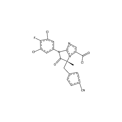 C[C@@]1(Cc2ccc(C#N)cc2)C(=O)N(c2cc(Cl)c(F)c(Cl)c2)c2ncc(C(=O)Cl)n21